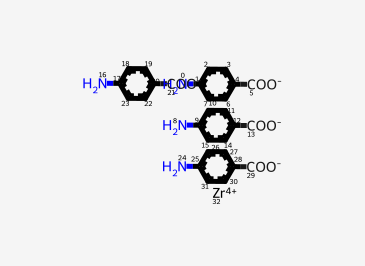 Nc1ccc(C(=O)[O-])cc1.Nc1ccc(C(=O)[O-])cc1.Nc1ccc(C(=O)[O-])cc1.Nc1ccc(C(=O)[O-])cc1.[Zr+4]